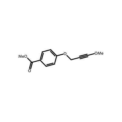 COC#CCOc1ccc(C(=O)OC)cc1